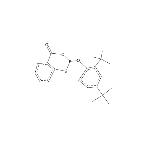 CC(C)(C)c1ccc(OP2OC(=O)c3ccccc3S2)c(C(C)(C)C)c1